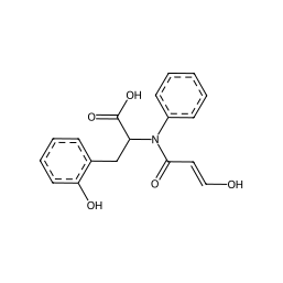 O=C(O)C(Cc1ccccc1O)N(C(=O)C=CO)c1ccccc1